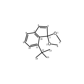 COC1(OC)C=Cc2cccc(C(C)(C)C)c21